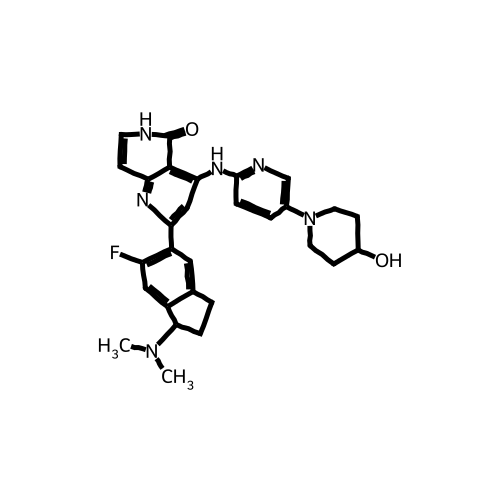 CN(C)C1CCc2cc(-c3cc(Nc4ccc(N5CCC(O)CC5)cn4)c4c(=O)[nH]ccc4n3)c(F)cc21